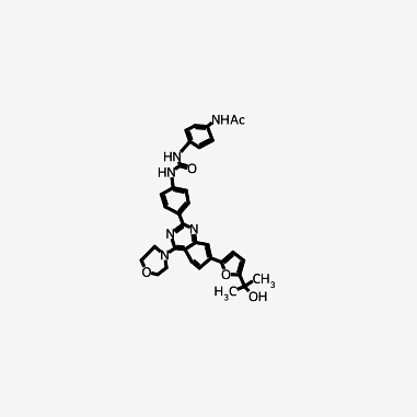 CC(=O)Nc1ccc(NC(=O)Nc2ccc(-c3nc(N4CCOCC4)c4ccc(-c5ccc(C(C)(C)O)o5)cc4n3)cc2)cc1